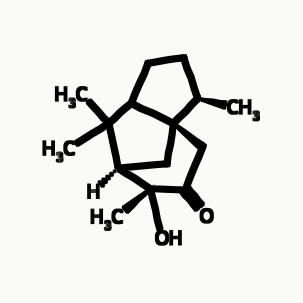 C[C@@H]1CCC2C(C)(C)[C@H]3C[C@]21CC(=O)[C@]3(C)O